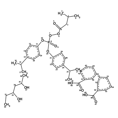 CC(C)CC(=O)OOP(=O)(Oc1ccc(C(C)C)cc1)Oc1ccc(C(C)C)cc1.CCC(O)CC(C)O.O=C(O)c1ccccc1.O=C(O)c1ccccc1